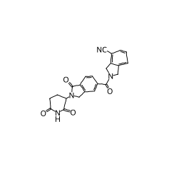 N#Cc1cccc2c1CN(C(=O)c1ccc3c(c1)CN(C1CCC(=O)NC1=O)C3=O)C2